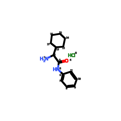 Cl.NC(C(=O)Nc1ccccc1)C1CCCCC1